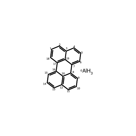 [AlH3].c1cc2cccc3c4cccc5cccc(c(c1)c23)c54